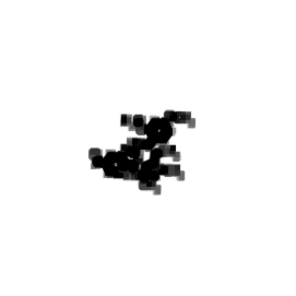 CCCCC(C)(CNC)Nc1nc(NCc2ccc(OC)cc2OC)nc2cc(C=O)cnc12